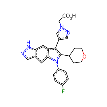 O=C(O)Cn1cc(-c2c(C3CCOCC3)n(-c3ccc(F)cc3)c3cc4cn[nH]c4cc23)cn1